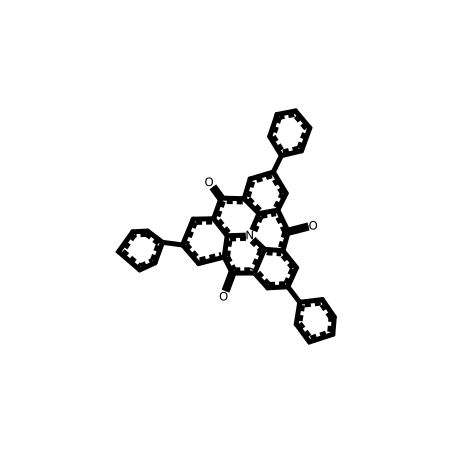 O=c1c2cc(-c3ccccc3)cc3c(=O)c4cc(-c5ccccc5)cc5c(=O)c6cc(-c7ccccc7)cc1c6n(c23)c45